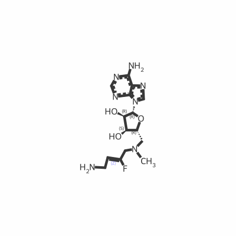 CN(C/C(F)=C/CN)C[C@H]1O[C@@H](n2cnc3c(N)ncnc32)[C@H](O)[C@@H]1O